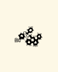 CCC(C)c1ccc(OC(OCCCc2c(-c3ccccc3)cccc2-c2ccccc2)C2CCCCC2)cc1